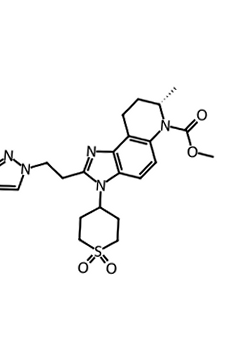 COC(=O)N1c2ccc3c(nc(CCn4cccn4)n3C3CCS(=O)(=O)CC3)c2CC[C@@H]1C